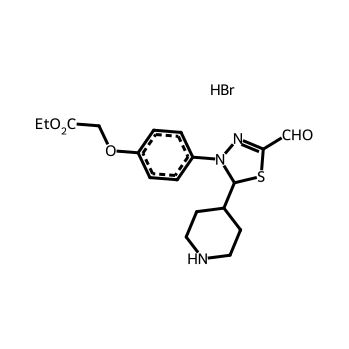 Br.CCOC(=O)COc1ccc(N2N=C(C=O)SC2C2CCNCC2)cc1